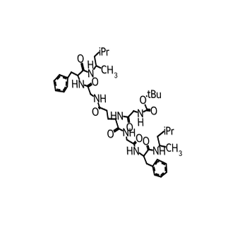 CC(C)CC(C)NC(=O)C(Cc1ccccc1)NC(=O)CNC(=O)CCC(NC(=O)CNC(=O)OC(C)(C)C)C(=O)NCC(=O)NC(Cc1ccccc1)C(=O)NC(C)CC(C)C